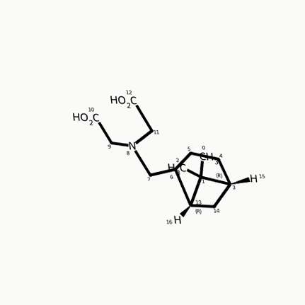 CC1(C)[C@@H]2CCC(CN(CC(=O)O)CC(=O)O)[C@H]1C2